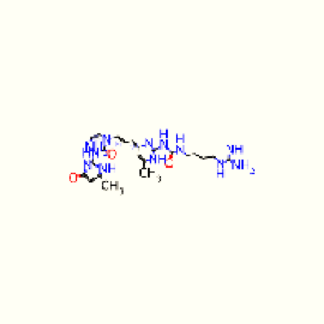 CC1=C/C(=C\C=C\N(/C=C\N)C(=O)Nc2nc(=O)cc(C)[nH]2)N=C(NC(=O)NCCCCNC(=N)N)N1